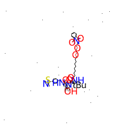 Cc1ncsc1-c1ccc(CNC(=O)[C@@H]2C[C@@H](O)CN2C(=O)[C@@H](NC(=O)CCCCCCCCCOCCOCCN2C(=O)c3ccccc3C2=O)C(C)(C)C)cc1